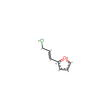 ClCC=Cc1ccco1